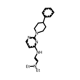 CCN(/C=C/Nc1ccnc(N2CCC(c3ccccc3)CC2)n1)CC